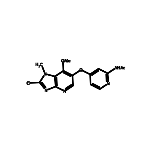 COc1c(Oc2ccnc(NC(C)=O)c2)cnc2nc(Cl)n(C)c12